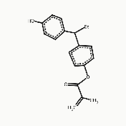 C=C(C)C(=O)Oc1ccc(C(CC)c2ccc(O)cc2)cc1